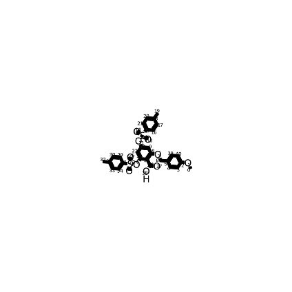 COc1ccc(COc2cc(OS(=O)(=O)c3ccc(C)cc3)cc(OS(=O)(=O)c3ccc(C)cc3)c2C(=O)O)cc1